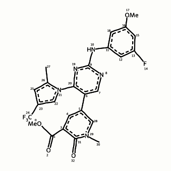 COC(=O)c1cc(-c2cnc(Nc3cc(F)cc(OC)c3)nc2-n2cc(C(F)(F)F)cc2C)cn(C)c1=O